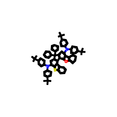 CC(C)(C)c1ccc(N(c2ccc(C(C)(C)C)cc2)c2cc3c(c4c2sc2ccccc24)-c2c(cc(N(c4ccc(C(C)(C)C)cc4)c4ccc(C(C)(C)C)cc4)c4c2oc2ccccc24)C3(c2ccccc2)c2ccccc2)cc1